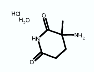 CC1(N)CCC(=O)NC1=O.Cl.O